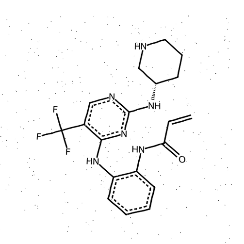 C=CC(=O)Nc1ccccc1Nc1nc(N[C@H]2CCCNC2)ncc1C(F)(F)F